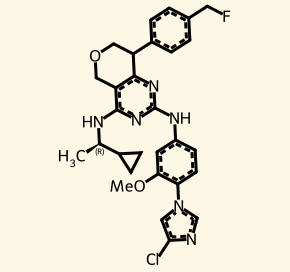 COc1cc(Nc2nc(N[C@H](C)C3CC3)c3c(n2)C(c2ccc(CF)cc2)COC3)ccc1-n1cnc(Cl)c1